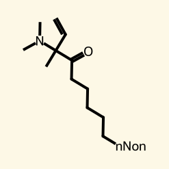 C=CC(C)(C(=O)CCCCCCCCCCCCCC)N(C)C